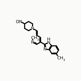 C\N=C/C(=C\C=C\N1CCC(N=O)CC1)c1nc2cc(C)ccc2[nH]1